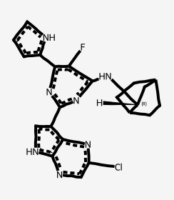 Fc1c(N[C@@H]2CC3CCC2CC3)nc(-c2c[nH]c3ncc(Cl)nc23)nc1-c1ccc[nH]1